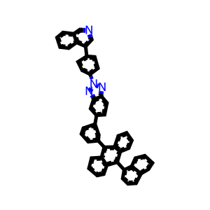 c1cc(-c2ccc3nn(-c4ccc(-c5cncc6ccccc56)cc4)nc3c2)cc(-c2c3ccccc3c(-c3cccc4ccccc34)c3ccccc23)c1